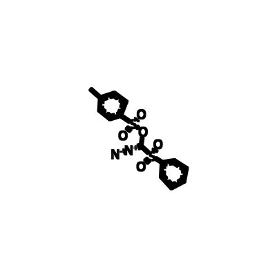 Cc1ccc(S(=O)(=O)OC(=[N+]=[N-])S(=O)(=O)c2ccccc2)cc1